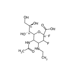 CCNC1C(NC(C)=O)C([C@H](O)[C@H](O)CO)O[C@@](F)(C(=O)O)C1F